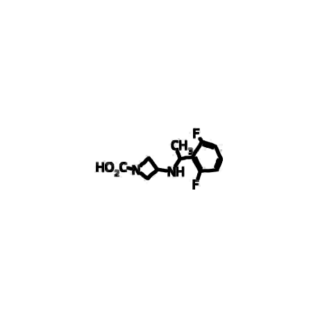 CC(NC1CN(C(=O)O)C1)c1c(F)cccc1F